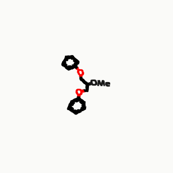 COC(COc1ccccc1)COc1ccccc1